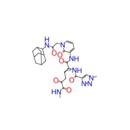 CNC(=O)C(=O)CC[C@H](NC(=O)c1cn(C)nn1)C(=O)Nc1cccn(CC(=O)NC2C3CC4CC(C3)CC2C4)c1=O